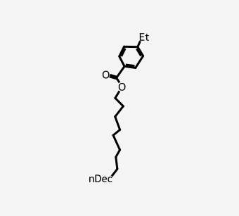 CCCCCCCCCCCCCCCCCCOC(=O)c1ccc(CC)cc1